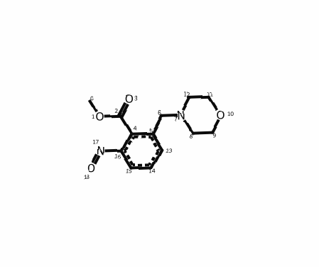 COC(=O)c1c(CN2CCOCC2)cccc1N=O